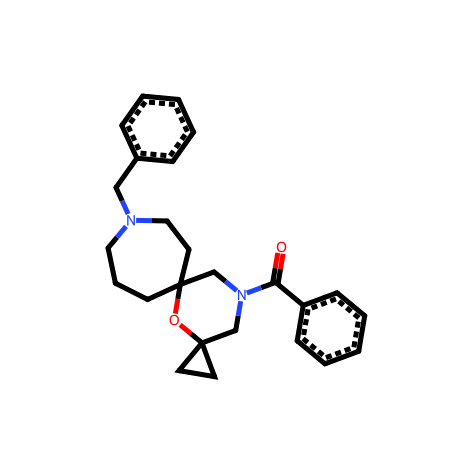 O=C(c1ccccc1)N1CC2(CCCN(Cc3ccccc3)CC2)OC2(CC2)C1